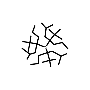 CCC[C](CC(C)C)([Cr]([C](CCC)(CC(C)C)C(C)(C)C)[C](CCC)(CC(C)C)C(C)(C)C)C(C)(C)C